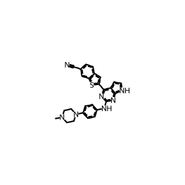 CN1CCN(c2ccc(Nc3nc(-c4cc5ccc(C#N)cc5s4)c4cc[nH]c4n3)cc2)CC1